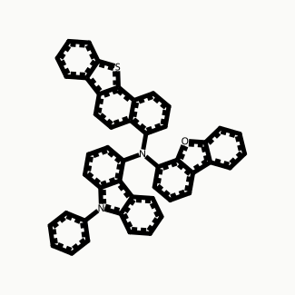 c1ccc(-n2c3ccccc3c3c(N(c4cccc5c4ccc4c6ccccc6sc54)c4cccc5c4oc4ccccc45)cccc32)cc1